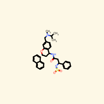 CC(C)N(C)Cc1ccc2c(c1)OCCC2NC(=O)CC(N=S(=O)=O)c1ccccc1.c1ccc2ccccc2c1